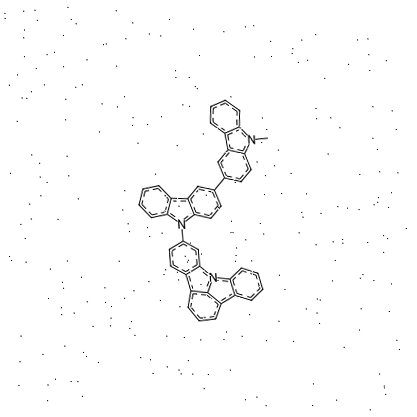 Cn1c2ccccc2c2cc(-c3ccc4c(c3)c3ccccc3n4-c3ccc4c5cccc6c7ccccc7n(c4c3)c65)ccc21